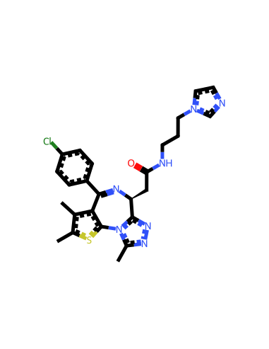 Cc1sc2c(c1C)C(c1ccc(Cl)cc1)=N[C@@H](CC(=O)NCCCn1ccnc1)c1nnc(C)n1-2